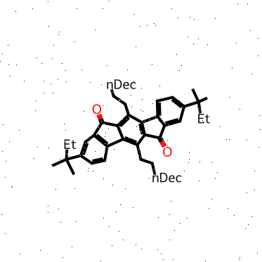 CCCCCCCCCCCCc1c2c(=O)c3cc(C(C)(C)CC)ccc3c2c(CCCCCCCCCCCC)c2c(=O)c3cc(C(C)(C)CC)ccc3c12